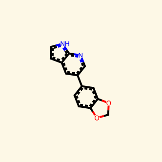 c1cc2cc(-c3ccc4c(c3)OCO4)cnc2[nH]1